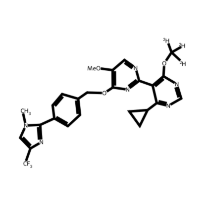 [2H]C([2H])([2H])Oc1ncnc(C2CC2)c1-c1ncc(OC)c(OCc2ccc(-c3nc(C(F)(F)F)cn3C)cc2)n1